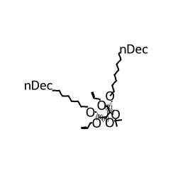 C=CCO[C@H](COCCCCCCCCCCCCCCCCCC)[C@H]1OC(C)(C)O[C@@H]1[C@@H](COCCCCCCCCCCCCCCCCCC)OCC=C